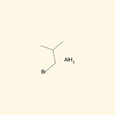 CC(C)CBr.[AlH3]